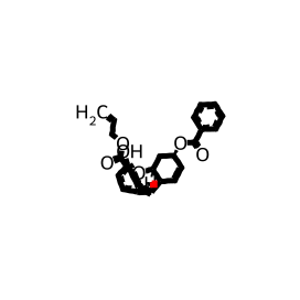 C=CCOC(=O)N1CC[C@@]23C=C[C@H](OC(=O)c4ccccc4)C[C@@H]2Oc2c(O)ccc(c23)C1